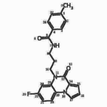 Cc1ccc(C(=O)NCCCn2c(=O)c3cccn3c3ccc(F)cc32)cc1